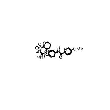 COc1ccc(C(=O)NC2C=C([C@]34CCCOC3S(=O)(=O)N(C)C(=N)N4)C(F)=CC2)nc1